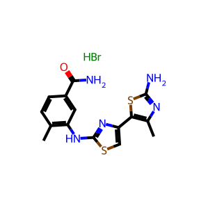 Br.Cc1ccc(C(N)=O)cc1Nc1nc(-c2sc(N)nc2C)cs1